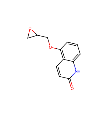 O=c1ccc2c(OCC3CO3)cccc2[nH]1